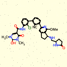 COc1nc(-c2cccc(-c3cccc(NC(=O)C4=CN(C)C(O)N(C)C4=O)c3Cl)c2C#N)cc2c1C(NCC1CCC(=O)N1)CC2